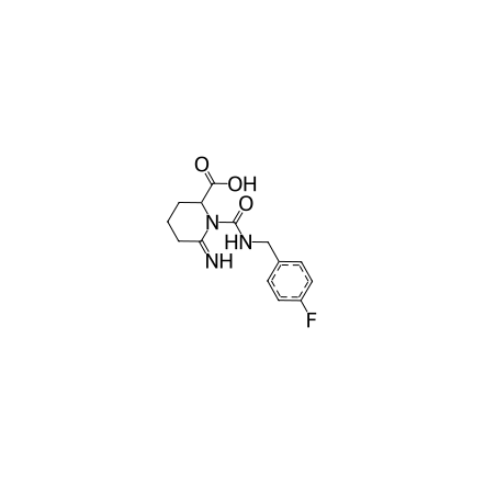 N=C1CCCC(C(=O)O)N1C(=O)NCc1ccc(F)cc1